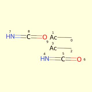 CC(C)=O.CC(C)=O.N=C=O.N=C=O